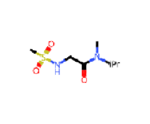 CC(C)N(C)C(=O)CNS(C)(=O)=O